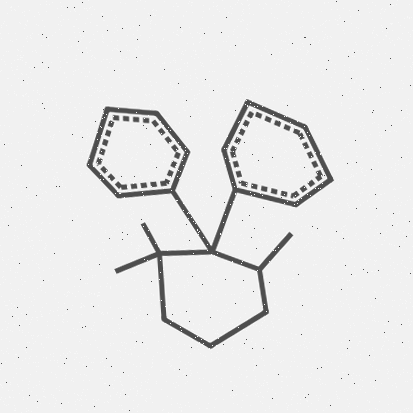 CC1CCCC(C)(C)C1(c1ccccc1)c1ccccc1